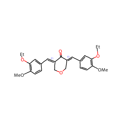 CCOc1cc(/C=C2\COC/C(=C\c3ccc(OC)c(OCC)c3)C2=O)ccc1OC